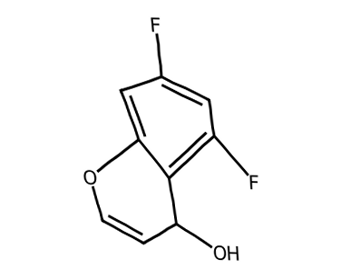 OC1C=COc2cc(F)cc(F)c21